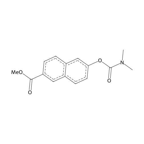 COC(=O)c1ccc2cc(OC(=O)N(C)C)ccc2c1